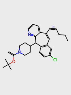 C=C(OC(C)(C)C)N1CCC(C2c3ccc(Cl)cc3C=C(/C=C\CCC)c3cccnc32)CC1